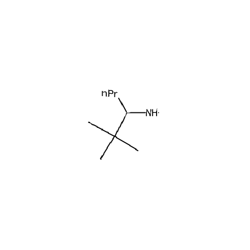 CCCC([NH])C(C)(C)C